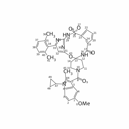 COc1ccc2c(c1)c(C(=O)N1CCC3(CC1)NC(=O)c1cccc(c1)S(=O)(=O)Nc1nc(cc(-c4c(C)cccc4C)n1)O3)c(C)n2C1CC1